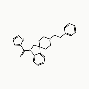 O=C(c1cccs1)N1CC2(CCN(CCc3ccccc3)CC2)c2ccccc21